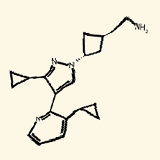 NC[C@H]1C[C@H](n2cc(-c3ncccc3C3CC3)c(C3CC3)n2)C1